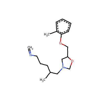 C=NCCCC(C)CN1COC(COc2ccccc2C)C1